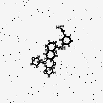 C#Cc1cccc(Nc2ncnc3cc(O[C@H]4CCOC4)c(O[C@H]4CCOC4)cc23)c1